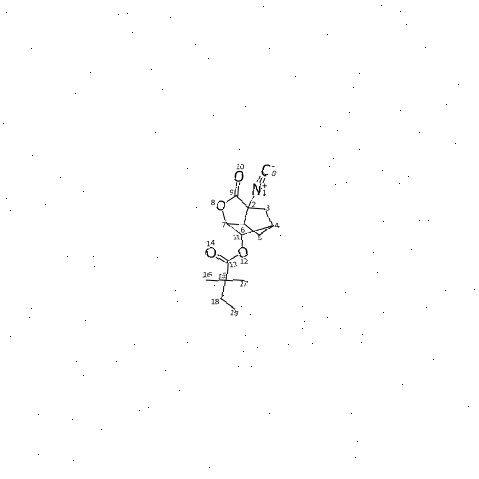 [C-]#[N+]C12CC3CC1C(OC2=O)C3OC(=O)C(C)(C)CC